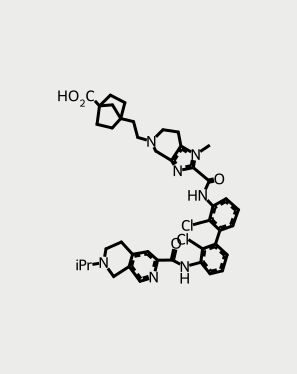 CC(C)N1CCc2cc(C(=O)Nc3cccc(-c4cccc(NC(=O)c5nc6c(n5C)CCN(CCC57CCC(C(=O)O)(CC5)C7)C6)c4Cl)c3Cl)ncc2C1